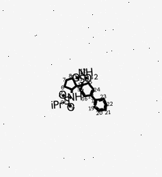 CC(C)S(=O)(=O)NC1CCCC1C1(S(N)(=O)=O)C=CC(c2ccccc2)=CC1